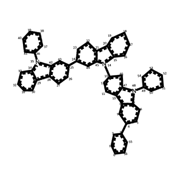 c1ccc(-c2ccc3c(c2)c2ccc(-n4c5ccccc5c5ccc(-c6ccc7c8ccccc8n(-c8ccccc8)c7c6)cc54)cc2n3-c2ccccc2)cc1